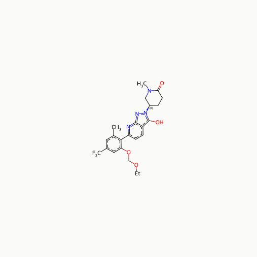 CCOCOc1cc(C(F)(F)F)cc(C)c1-c1ccc2c(O)n([C@@H]3CCC(=O)N(C)C3)nc2n1